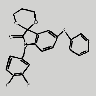 O=C1N(c2ccc(F)c(F)c2)c2ccc(Sc3ccccc3)cc2C12OCCCO2